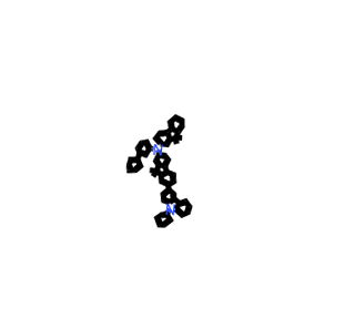 CC1(C)c2ccccc2-c2ccc(N(c3cccc(-c4ccccc4)c3)c3ccc4c(c3)C(C)(C)c3cc(-c5ccc6c(c5)c5ccccc5n6-c5ccccc5)ccc3-4)cc21